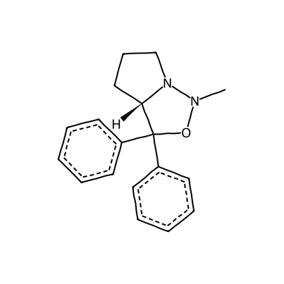 CN1OC(c2ccccc2)(c2ccccc2)[C@@H]2CCCN21